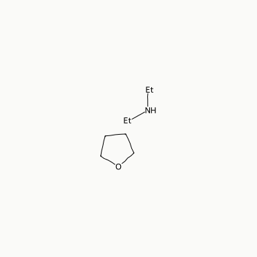 C1CCOC1.CCNCC